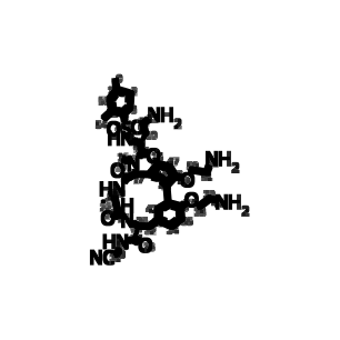 Cc1ccc(S(=O)(=O)N[C@@H](CCN)C(=O)N(C)[C@@H]2C(=O)N[C@@H](C)C(=O)N[C@H](C(=O)NCC#N)Cc3ccc(OCCN)c(c3)-c3cc2ccc3OCCN)c(C)c1